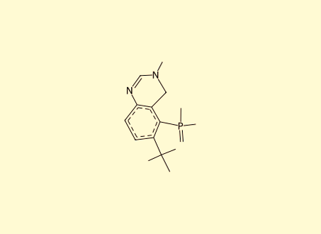 C=P(C)(C)c1c(C(C)(C)C)ccc2c1CN(C)C=N2